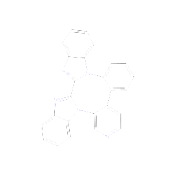 c1ccc2c(c1)nc1c3nc4ccccc4n3c3cnccc3c3ccccc3n21